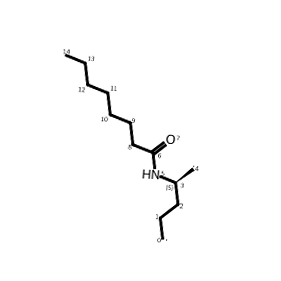 [CH2]CC[C@H]([CH2])NC(=O)CCCCCCC